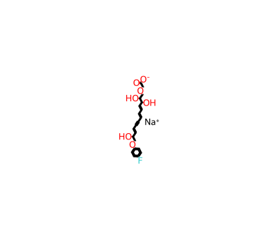 O=C([O-])COC[C@H](O)[C@H](O)C=CC=CC#CC=C[C@H](O)COc1ccc(F)cc1.[Na+]